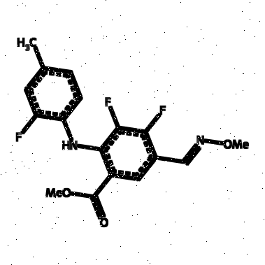 CO/N=C/c1cc(C(=O)OC)c(Nc2ccc(C)cc2F)c(F)c1F